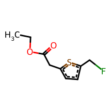 CCOC(=O)Cc1ccc(CF)s1